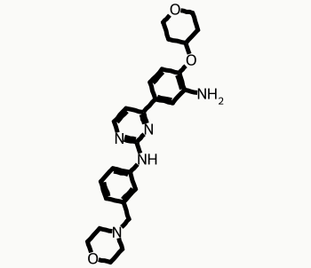 Nc1cc(-c2ccnc(Nc3cccc(CN4CCOCC4)c3)n2)ccc1OC1CCOCC1